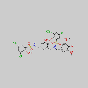 COc1cc(CN(Cc2cccc(CNS(=O)(=O)c3cc(Cl)cc(Cl)c3O)c2)S(=O)(=O)c2cc(Cl)cc(Cl)c2O)cc(OC)c1OC